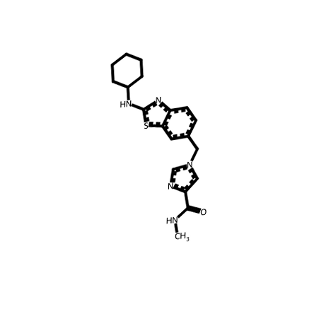 CNC(=O)c1cn(Cc2ccc3nc(NC4CCCCC4)sc3c2)cn1